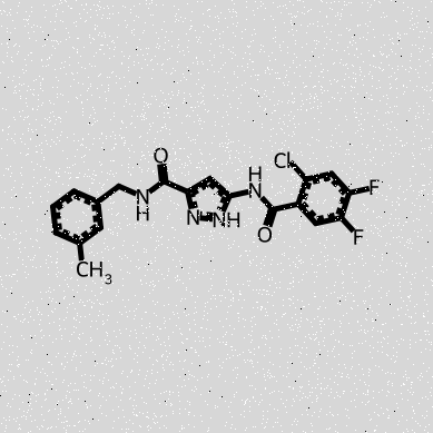 Cc1cccc(CNC(=O)c2cc(NC(=O)c3cc(F)c(F)cc3Cl)[nH]n2)c1